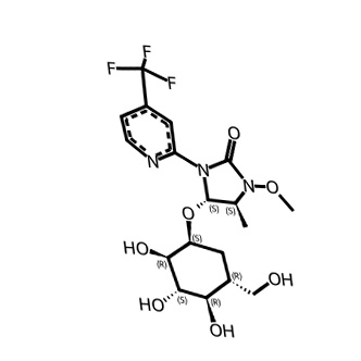 CON1C(=O)N(c2cc(C(F)(F)F)ccn2)[C@@H](O[C@H]2C[C@H](CO)[C@@H](O)[C@H](O)[C@H]2O)[C@@H]1C